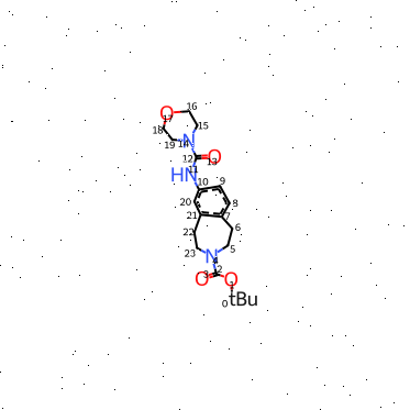 CC(C)(C)OC(=O)N1CCc2ccc(NC(=O)N3CCOCC3)cc2CC1